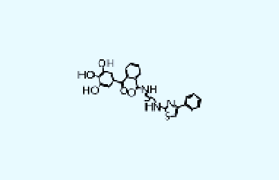 O=C(NSCNc1nc(-c2ccccc2)cs1)c1ccccc1C(=O)c1cc(O)c(O)c(O)c1